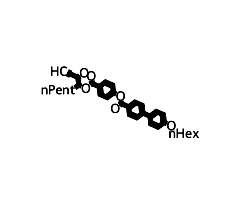 C#CC(=O)C(CCCCC)OC(=O)c1ccc(OC(=O)c2ccc(-c3ccc(OCCCCCC)cc3)cc2)cc1